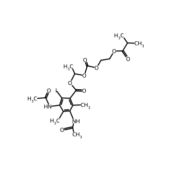 CC(=O)Nc1c(C)c(NC(C)=O)c(I)c(C(=O)OC(C)OC(=O)OCCOC(=O)C(C)C)c1C